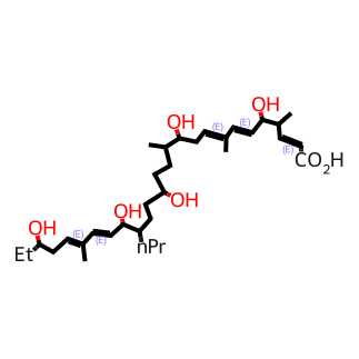 CCCC(CCC(O)CCC(C)C(O)C/C=C(C)/C=C/C(O)C(C)/C=C/C(=O)O)C(O)/C=C/C(C)=C/CC(O)CC